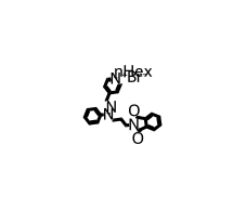 CCCCCC[n+]1ccc(/C=N/N(CCCN2C(=O)c3ccccc3C2=O)c2ccccc2)cc1.[Br-]